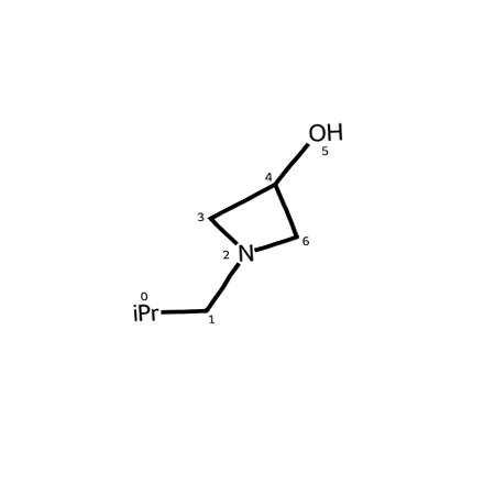 CC(C)CN1CC(O)C1